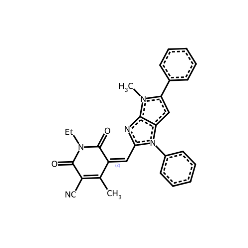 CCN1C(=O)C(C#N)=C(C)/C(=C/c2nc3c(cc(-c4ccccc4)n3C)n2-c2ccccc2)C1=O